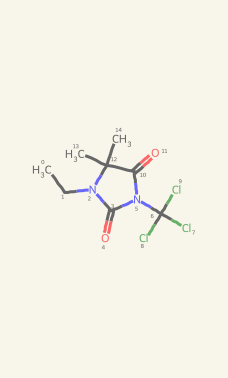 CCN1C(=O)N(C(Cl)(Cl)Cl)C(=O)C1(C)C